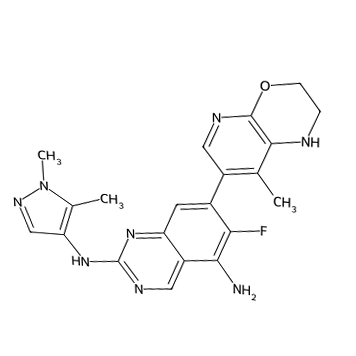 Cc1c(-c2cc3nc(Nc4cnn(C)c4C)ncc3c(N)c2F)cnc2c1NCCO2